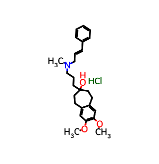 COc1cc2c(cc1OC)CCC(O)(CCCN(C)CC=Cc1ccccc1)CC2.Cl